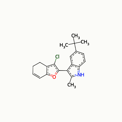 Cc1[nH]c2ccc(C(C)(C)C)cc2c1-c1oc2c(c1Cl)CCC=C2